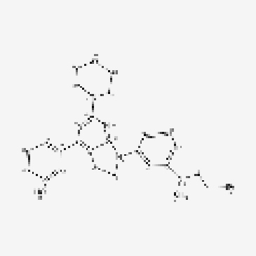 CC(C)CCN(C)c1cc(N2CCc3c(-c4cccc(O)c4)nc(N4CCOCC4)nc32)ccn1